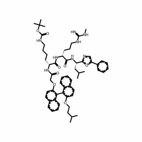 CNC(=N)NCCC[C@@H](NC(=O)[C@@H](CCCCNC(=O)OC(C)(C)C)NC(=O)COc1ccc2ccccc2c1-c1c(OCCC(C)C)ccc2ccccc12)C(=O)N[C@@H](CC(C)C)c1ncc(-c2ccccc2)o1